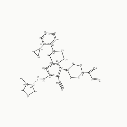 C=CC(=O)N1CCN(c2c(C#N)c(OC[C@@H]3CCCN3C)nc3c2CCN(c2ccccc2C2CC2)C3)CC1